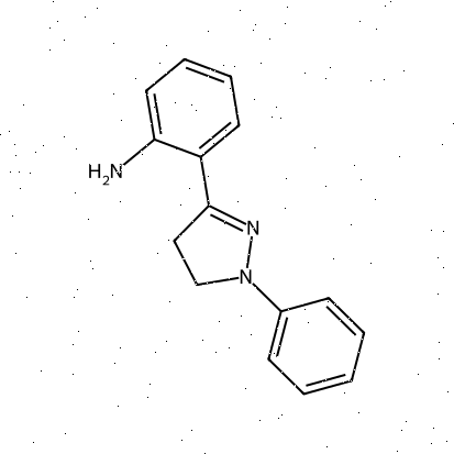 Nc1ccccc1C1=NN(c2ccccc2)CC1